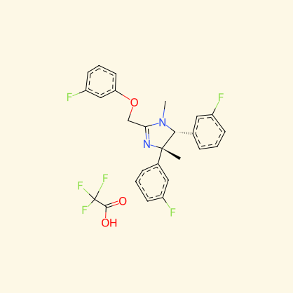 CN1C(COc2cccc(F)c2)=N[C@@](C)(c2cccc(F)c2)[C@H]1c1cccc(F)c1.O=C(O)C(F)(F)F